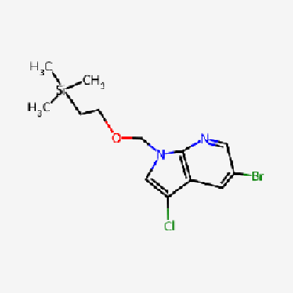 C[Si](C)(C)CCOCn1cc(Cl)c2cc(Br)cnc21